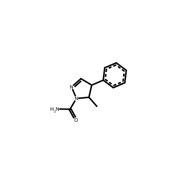 CC1C(c2ccccc2)C=NN1C(N)=O